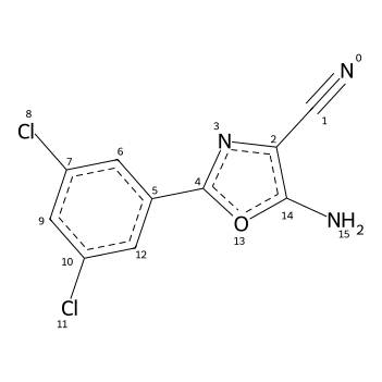 N#Cc1nc(-c2cc(Cl)cc(Cl)c2)oc1N